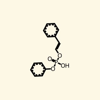 O=P(O)(OC=Cc1ccccc1)Oc1ccccc1